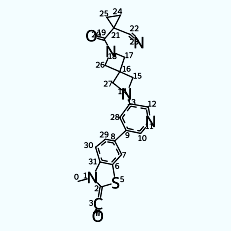 CN1C(=C=O)Sc2cc(-c3cncc(N4CC5(CN(C(=O)C6(C#N)CC6)C5)C4)c3)ccc21